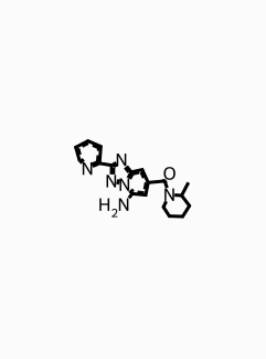 CC1CCCCN1C(=O)c1cc(N)n2nc(-c3ccccn3)nc2c1